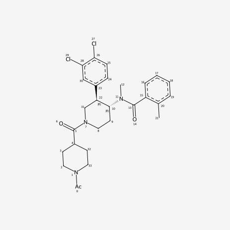 CC(=O)N1CCC(C(=O)N2CC[C@@H](N(C)C(=O)c3ccccc3C)[C@H](c3ccc(Cl)c(Cl)c3)C2)CC1